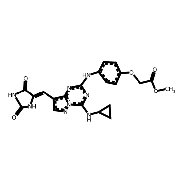 COC(=O)COc1ccc(Nc2nc(NC3CC3)n3ncc(C=C4NC(=O)NC4=O)c3n2)cc1